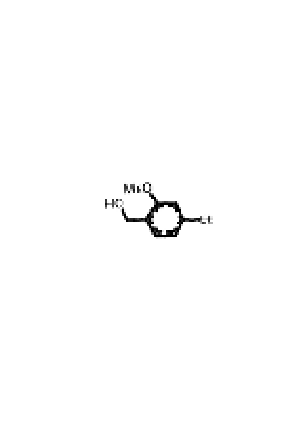 CCc1ccc(CO)c(OC)c1